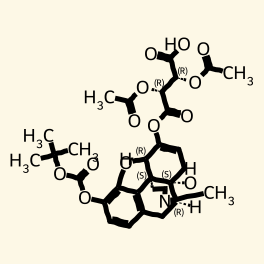 CC(=O)O[C@@H](C(=O)O)[C@@H](OC(C)=O)C(=O)OC1=CC[C@@]2(O)[C@H]3Cc4ccc(OC(=O)OC(C)(C)C)c5c4[C@@]2(CCN3C)[C@H]1O5